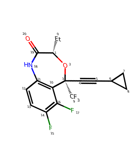 CC[C@@H]1O[C@](C#CC2CC2)(C(F)(F)F)c2c(ccc(F)c2F)NC1=O